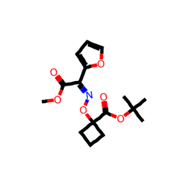 COC(=O)/C(=N\OC1(C(=O)OC(C)(C)C)CCC1)c1ccco1